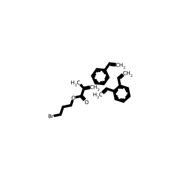 C=C(C)C(=O)OCCCBr.C=Cc1ccccc1.C=Cc1ccccc1C=C